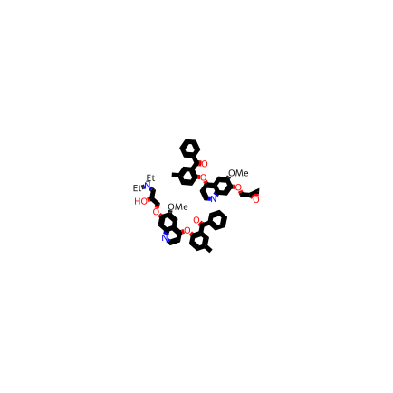 CCN(CC)CC(O)COc1cc2nccc(Oc3ccc(C)cc3C(=O)c3ccccc3)c2cc1OC.COc1cc2c(Oc3ccc(C)cc3C(=O)c3ccccc3)ccnc2cc1OCC1CO1